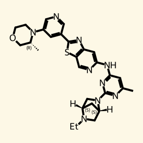 CCN1C[C@@H]2C[C@H]1CN2c1nc(C)cc(Nc2cc3nc(-c4cncc(N5CCOC[C@H]5C)c4)sc3cn2)n1